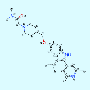 Cc1cc(-c2[nH]c3ccc(OCC4CCN(CC(=O)N(C)C)CC4)cc3c2C(C)C)cc(C)n1